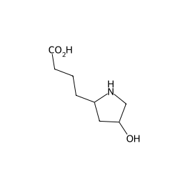 O=C(O)CCCC1CC(O)CN1